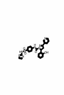 O=C(Nc1ccc(S(=O)(=O)Nc2nccs2)cc1)N1N=C(c2cccnc2)CC1c1ccccc1O